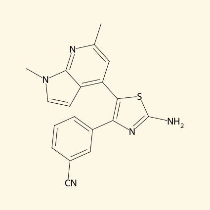 Cc1cc(-c2sc(N)nc2-c2cccc(C#N)c2)c2ccn(C)c2n1